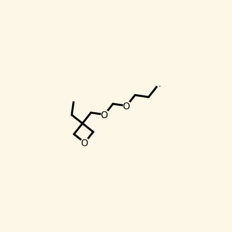 [CH2]CCOCOCC1(CC)COC1